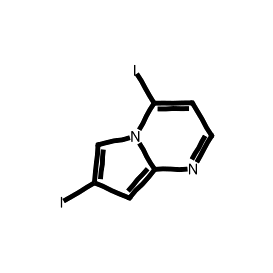 Ic1cc2nccc(I)n2c1